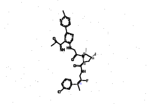 CC(=O)C(=N)c1cc(-c2cnc(C)nc2)ccc1NCC(=O)N1[C@H](C)[C@H](I)C[C@H]1C(=O)NC/C(F)=C(/C)c1cccc(Cl)c1